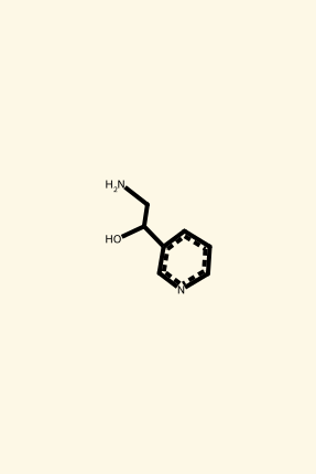 NCC(O)c1cccnc1